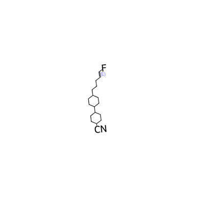 N#CC1CCC(C2CCC(CCC/C=C/F)CC2)CC1